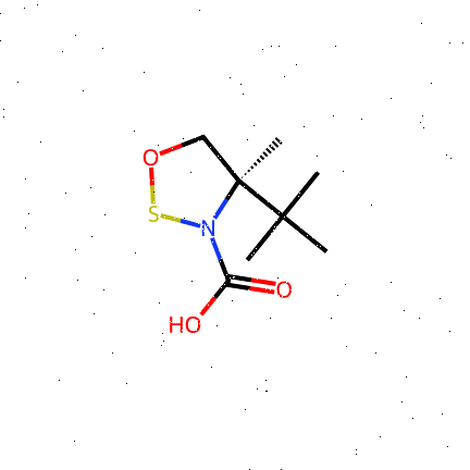 CC(C)(C)[C@]1(C)COSN1C(=O)O